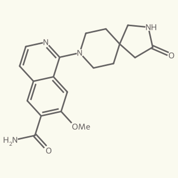 COc1cc2c(N3CCC4(CC3)CNC(=O)C4)nccc2cc1C(N)=O